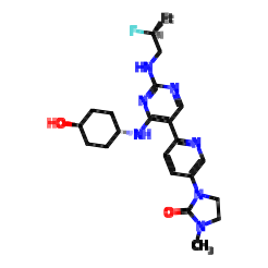 CC[C@H](F)CNc1ncc(-c2ccc(N3CCN(C)C3=O)cn2)c(N[C@H]2CC[C@H](O)CC2)n1